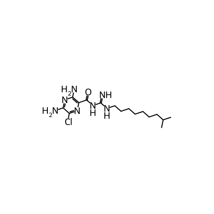 CC(C)CCCCCCCNC(=N)NC(=O)c1nc(Cl)c(N)nc1N